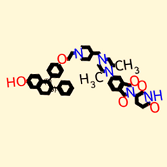 CC1CN(CC2CCN(CCOc3ccc([C@@H]4c5ccc(O)cc5CC[C@@H]4c4ccccc4)cc3)CC2)CC(C)N1c1ccc2c(c1)C(=O)N(C1CCC(=O)NC1=O)C2=O